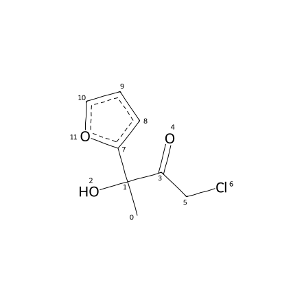 CC(O)(C(=O)CCl)c1ccco1